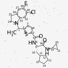 CC(c1ccc(C(=O)N[C@@H](CC2CCCC2)C(=O)NC2CC2)s1)N1CCc2cc(F)c(Cl)cc21